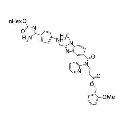 CCCCCCOC(=O)/N=C(\N)c1ccc(NCc2nc3cc(C(=O)N(CCC(=O)OCc4ccccc4OC)c4ccccn4)ccc3n2C)cc1